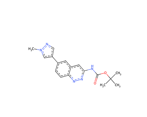 Cn1cc(-c2ccc3nnc(NC(=O)OC(C)(C)C)cc3c2)cn1